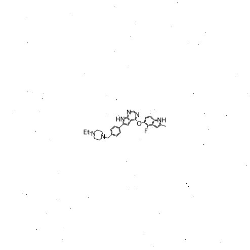 CCN1CCN(Cc2ccc(-c3cc4c(Oc5ccc6[nH]c(C)cc6c5F)ncnc4[nH]3)cc2)CC1